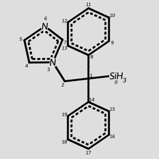 [SiH3]C(Cn1ccnc1)(c1ccccc1)c1ccccc1